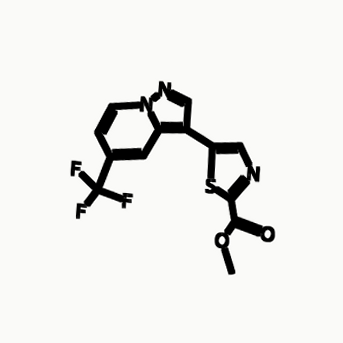 COC(=O)c1ncc(-c2cnn3ccc(C(F)(F)F)cc23)s1